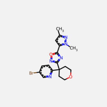 Cc1cc(-c2nc(C3(c4ccc(Br)cn4)CCOCC3)no2)n(C)n1